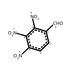 O=Cc1ccc([N+](=O)[O-])c([N+](=O)[O-])c1[N+](=O)[O-]